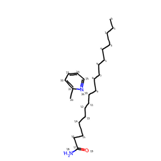 CCCCCCCCCCCCCCCCCC(N)=O.Cc1ccccn1